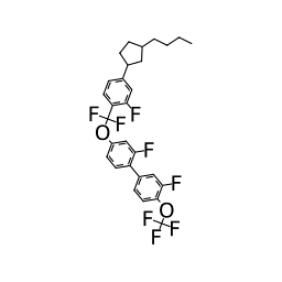 CCCCC1CCC(c2ccc(C(F)(F)Oc3ccc(-c4ccc(OC(F)(F)F)c(F)c4)c(F)c3)c(F)c2)C1